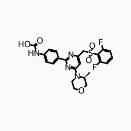 C[C@H]1COCCN1c1cc(CS(=O)(=O)c2c(F)cccc2F)nc(-c2ccc(NC(=O)O)cc2)n1